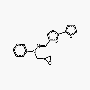 C(=NN(CC1CO1)c1ccccc1)c1ccc(-c2cccs2)s1